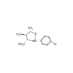 C[C@H]1[C@H](C)O[C@H](c2ccc(Cl)cc2)N[C@@H]1C(=O)O